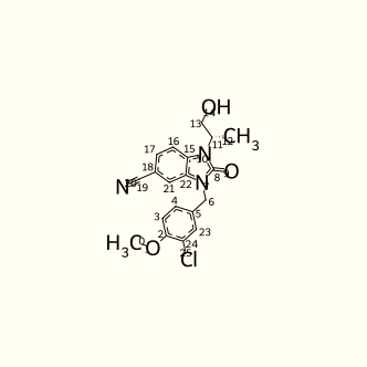 COc1ccc(Cn2c(=O)n([C@@H](C)CO)c3ccc(C#N)cc32)cc1Cl